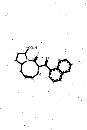 O=C(c1nccc2ccccc12)C1C/C=C\CC2CCC(C(=O)O)N2C1=O